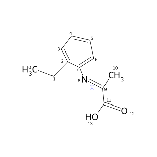 CCc1ccccc1/N=C(\C)C(=O)O